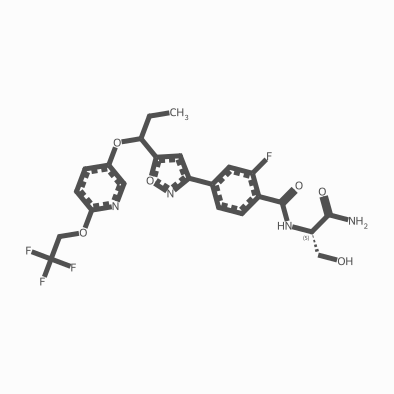 CCC(Oc1ccc(OCC(F)(F)F)nc1)c1cc(-c2ccc(C(=O)N[C@@H](CO)C(N)=O)c(F)c2)no1